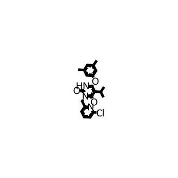 Cc1cc(C)cc(Oc2[nH]c(=O)n(Cc3cccc(Cl)n3)c(=O)c2C(C)C)c1